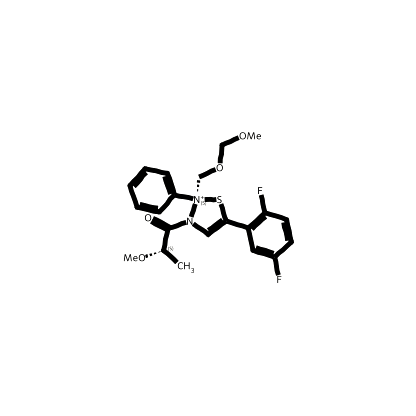 COCOC[N@+]1(c2ccccc2)SC(c2cc(F)ccc2F)=CN1C(=O)[C@H](C)OC